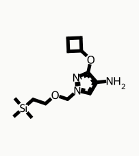 C[Si](C)(C)CCOCn1cc(N)c(OC2CCC2)n1